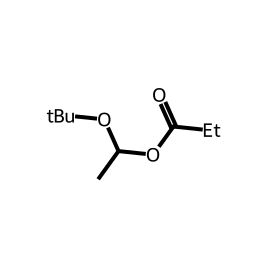 CCC(=O)OC(C)OC(C)(C)C